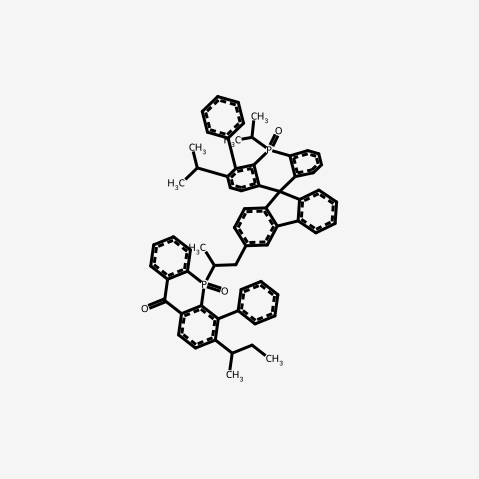 CCC(C)c1ccc2c(c1-c1ccccc1)P(=O)(C(C)Cc1ccc3c(c1)-c1ccccc1C31c3ccccc3P(=O)(C(C)C)c3c1ccc(C(C)C)c3-c1ccccc1)c1ccccc1C2=O